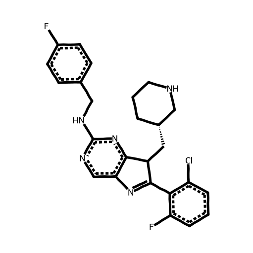 Fc1ccc(CNc2ncc3c(n2)C(C[C@@H]2CCCNC2)C(c2c(F)cccc2Cl)=N3)cc1